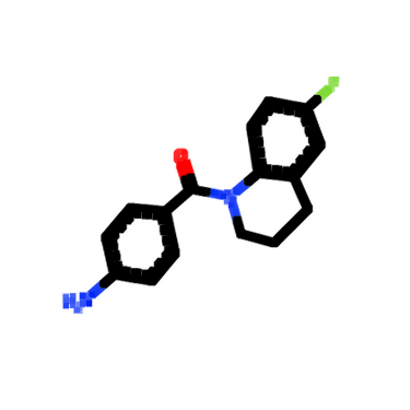 Nc1ccc(C(=O)N2CCCc3cc(F)ccc32)cc1